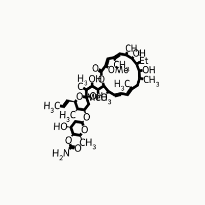 C/C=C/[C@H]1O[C@](O)(C(C)C(O)C(C)C2OC(=O)/C(OC)=C/C(C)=C/C(C)C(O)C(CC)C(O)C(C)C/C(C)=C/C=C/C2OC)C[C@@H](O[C@H]2C[C@@H](O)[C@H](OC(N)=O)[C@@H](C)O2)[C@@H]1C